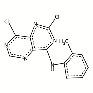 Cc1ccccc1Nc1nc(Cl)nc2c(Cl)ncnc12